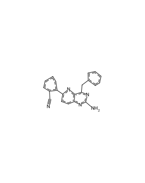 N#Cc1ccccc1-c1ccc2nc(N)nc(Cc3ccccc3)c2n1